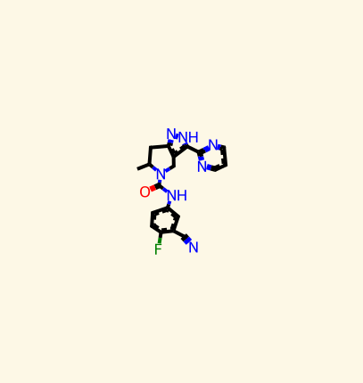 CC1Cc2n[nH]c(-c3ncccn3)c2CN1C(=O)Nc1ccc(F)c(C#N)c1